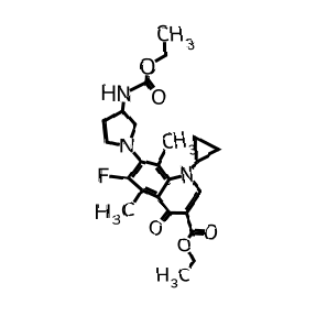 CCOC(=O)NC1CCN(c2c(F)c(C)c3c(=O)c(C(=O)OCC)cn(C4CC4)c3c2C)C1